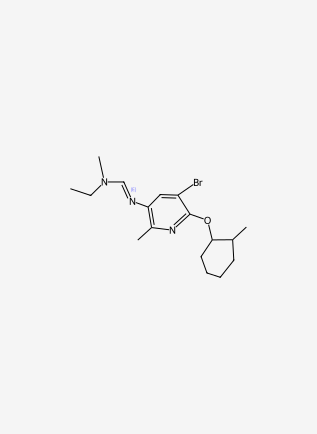 CCN(C)/C=N/c1cc(Br)c(OC2CCCCC2C)nc1C